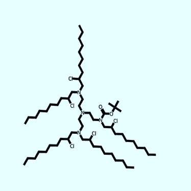 CCCCCCCCC(Cl)CN(CCN(CCN(CC(Cl)CCCCCCCC)CC(Cl)CCCCCCCC)CCN(CC(Cl)CCCCCCCC)C(=O)OC(C)(C)C)CC(Cl)CCCCCCCC